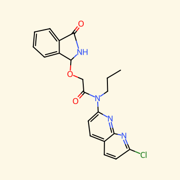 CCCN(C(=O)COC1NC(=O)c2ccccc21)c1ccc2ccc(Cl)nc2n1